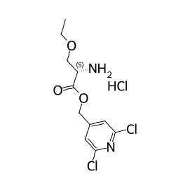 CCOC[C@H](N)C(=O)OCc1cc(Cl)nc(Cl)c1.Cl